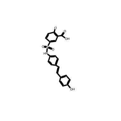 O=C(O)c1cc(S(=O)(=O)Nc2ccc(C=Cc3ccc(O)cc3)cc2)ccc1Cl